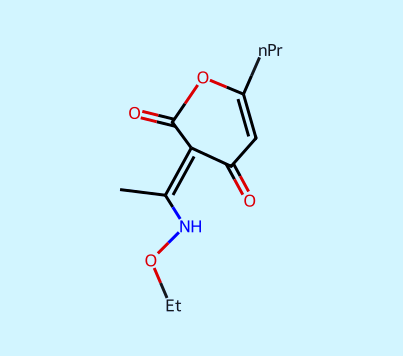 CCCC1=CC(=O)C(=C(C)NOCC)C(=O)O1